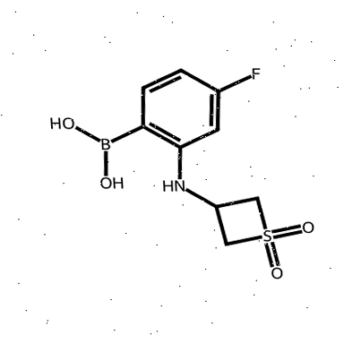 O=S1(=O)CC(Nc2cc(F)ccc2B(O)O)C1